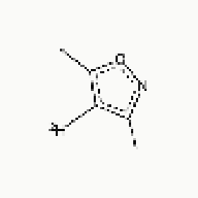 [2H]c1c(C)noc1C